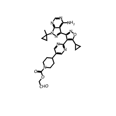 CC1(n2nc(-c3noc(C4CC4)c3-c3ncc(C4CCN(C(=O)OCC=O)CC4)cn3)c3c(N)ncnc32)CC1